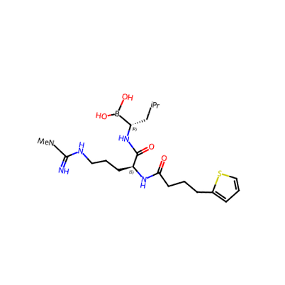 CNC(=N)NCCC[C@H](NC(=O)CCCc1cccs1)C(=O)N[C@@H](CC(C)C)B(O)O